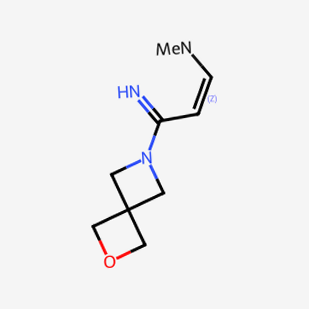 CN/C=C\C(=N)N1CC2(COC2)C1